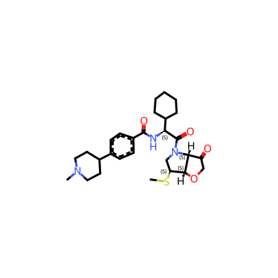 CS[C@H]1CN(C(=O)[C@@H](NC(=O)c2ccc(C3CCN(C)CC3)cc2)C2CCCCC2)[C@@H]2C(=O)CO[C@H]12